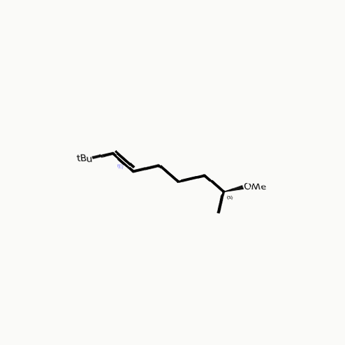 CO[C@@H](C)CCC/C=C/C(C)(C)C